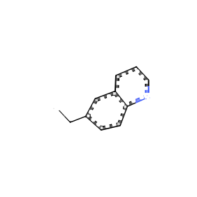 CC(C)(C)Cc1ccc2ncccc2c1